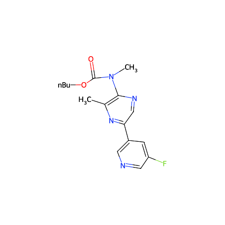 CCCCOC(=O)N(C)c1ncc(-c2cncc(F)c2)nc1C